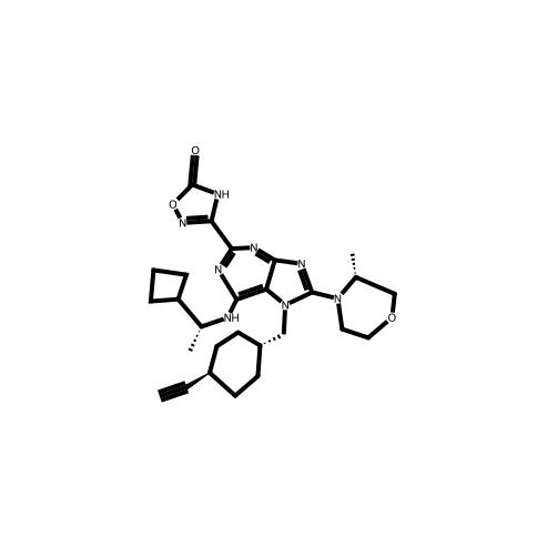 C#C[C@H]1CC[C@H](Cn2c(N3CCOC[C@H]3C)nc3nc(-c4noc(=O)[nH]4)nc(N[C@H](C)C4CCC4)c32)CC1